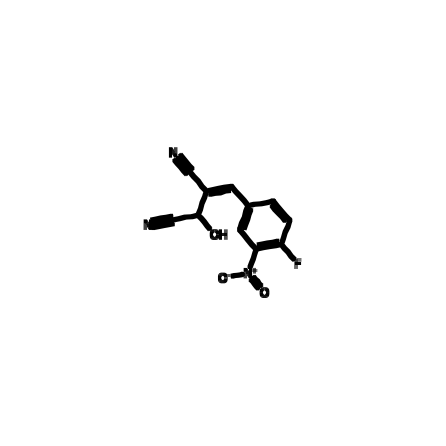 N#C/C(=C/c1ccc(F)c([N+](=O)[O-])c1)C(O)C#N